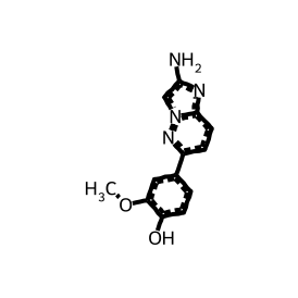 COc1cc(-c2ccc3nc(N)cn3n2)ccc1O